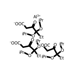 CCC(OC(C)C)(OC(C)C)C(=O)CC(=O)[O-].CCC(OC(C)C)(OC(C)C)C(=O)CC(=O)[O-].CCC(OC(C)C)(OC(C)C)C(=O)CC(=O)[O-].[Al+3]